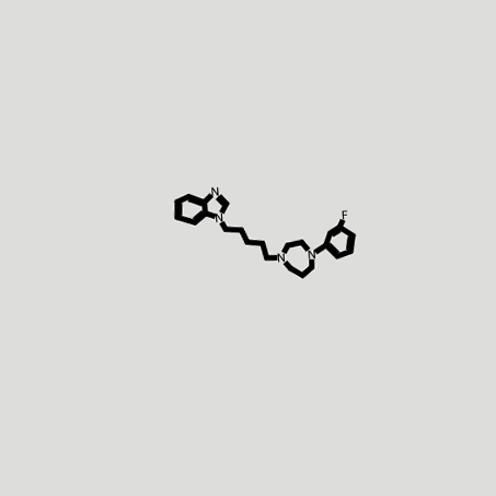 Fc1cccc(N2CCCN(CCCCCn3cnc4ccccc43)CC2)c1